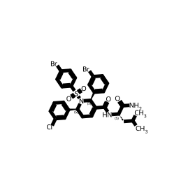 CC(C)C[C@H](NC(=O)C1=CC[C@@H](c2cccc(Cl)c2)N(S(=O)(=O)c2ccc(Br)cc2)[C@H]1c1cccc(Br)c1)C(N)=O